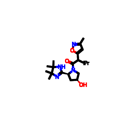 Cc1cc(C(C(=O)N2C[C@H](O)C[C@H]2C2=NC(C)(C)C(C)(C)N2)C(C)C)on1